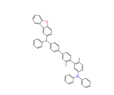 Cc1cc(-c2ccc(C(c3ccccc3)c3ccc4oc5ccccc5c4c3)cc2)ccc1-c1cc(N(c2ccccc2)c2ccccc2)ccc1C